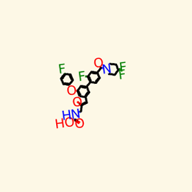 O=C(O)NCc1cc2cc(-c3ccc(C(=O)N4CCC(F)(F)CC4)cc3F)cc(Oc3ccc(F)cc3)c2o1